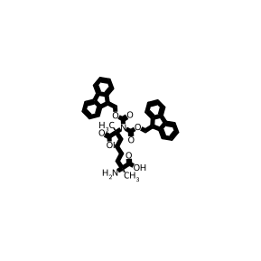 C[C@](N)(CCCC[C@@](C)(C(=O)O)N(C(=O)OCC1c2ccccc2-c2ccccc21)C(=O)OCC1c2ccccc2-c2ccccc21)C(=O)O